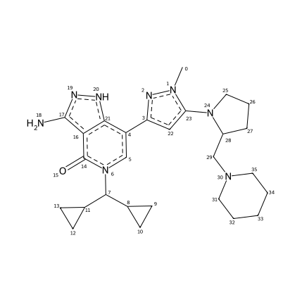 Cn1nc(-c2cn(C(C3CC3)C3CC3)c(=O)c3c(N)n[nH]c23)cc1N1CCCC1CN1CCCCC1